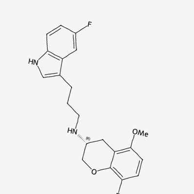 COc1ccc(F)c2c1C[C@@H](NCCCc1c[nH]c3ccc(F)cc13)CO2